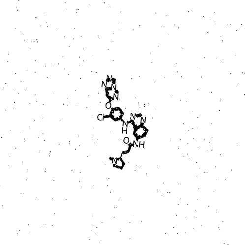 CN1CCC[C@@H]1/C=C/C(=O)Nc1ccc2ncnc(Nc3ccc(Oc4cc5nncn5cn4)c(Cl)c3)c2c1